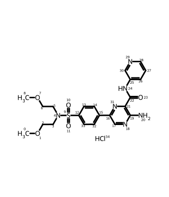 COCCN(CCOC)S(=O)(=O)c1ccc(-c2cnc(N)c(C(=O)Nc3cccnc3)n2)cc1.Cl